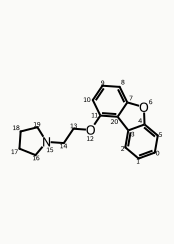 c1ccc2c(c1)oc1cccc(OCCN3CCCC3)c12